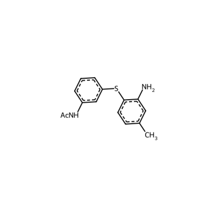 CC(=O)Nc1cccc(Sc2ccc(C)cc2N)c1